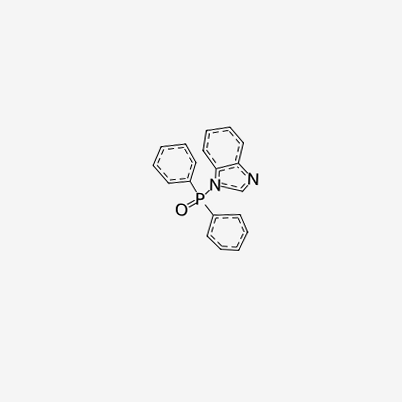 O=P(c1ccccc1)(c1ccccc1)n1cnc2ccccc21